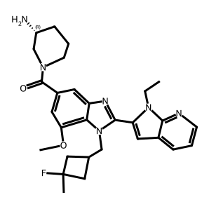 CCn1c(-c2nc3cc(C(=O)N4CCC[C@@H](N)C4)cc(OC)c3n2CC2CC(C)(F)C2)cc2cccnc21